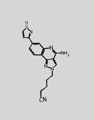 N#CCCCCn1cc2c(N)nc3cc(-c4cc[nH]n4)ccc3c2n1